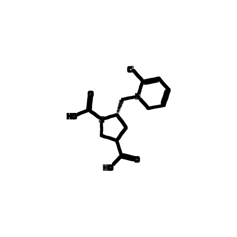 O=C(O)C1C[C@@H](CN2CC=CC=C2Cl)N(C(=O)O)C1